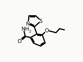 CCCOc1cccc(C(N)=O)c1-c1nccs1